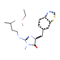 CCOC[C@@H](CC(C)C)NC1=N/C(=C\c2ccc3ncsc3c2)C(=O)N1C